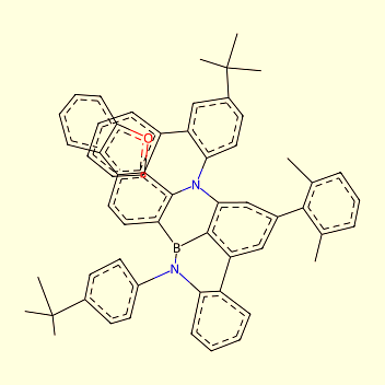 Cc1cccc(C)c1-c1cc2c3c(c1)N(c1ccc(C(C)(C)C)cc1-c1ccccc1)c1c(ccc4c1oc1ccccc14)B3N(c1ccc(C(C)(C)C)cc1)c1ccccc1-2